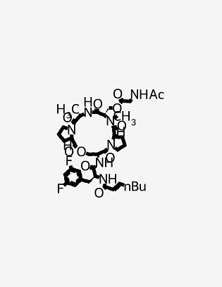 CCCC/C=C/C(=O)N[C@@H](Cc1cc(F)cc(F)c1)C(=O)N[C@H]1COC(=O)[C@@H]2CCCN2C(=O)[C@H](C)NC(=O)[C@H](COC(=O)CNC(C)=O)N(C)C(=O)[C@@H]2CCCN2C1=O